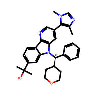 Cc1ncn(C)c1-c1cnc2c3ccc(C(C)(C)O)cc3n([C@@H](c3ccccc3)C3CCOCC3)c2c1